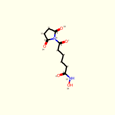 O=C(CCCCC(=O)N1C(=O)CCC1=O)NO